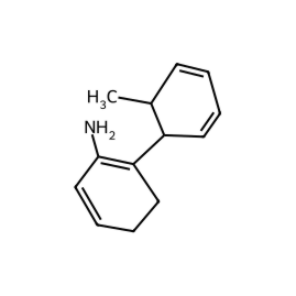 CC1C=CC=CC1C1=C(N)C=CCC1